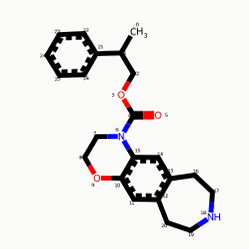 CC(COC(=O)N1CCOc2cc3c(cc21)CCNCC3)c1ccccc1